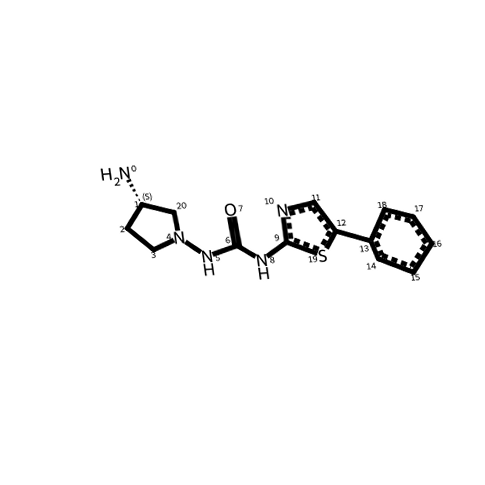 N[C@H]1CCN(NC(=O)Nc2ncc(-c3ccccc3)s2)C1